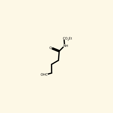 CCOC(=O)NC(=O)CCCC=O